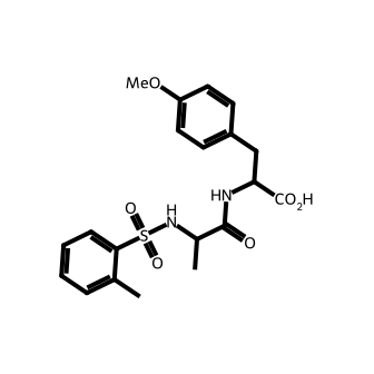 COc1ccc(CC(NC(=O)C(C)NS(=O)(=O)c2ccccc2C)C(=O)O)cc1